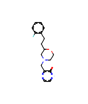 O=c1[nH]ccnc1CN1CCOC(CCc2ccccc2F)C1